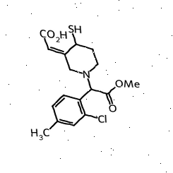 COC(=O)C(c1ccc(C)cc1Cl)N1CCC(S)/C(=C\C(=O)O)C1